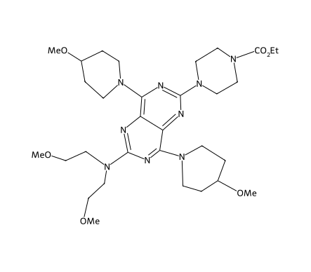 CCOC(=O)N1CCN(c2nc(N3CCC(OC)CC3)c3nc(N(CCOC)CCOC)nc(N4CCC(OC)CC4)c3n2)CC1